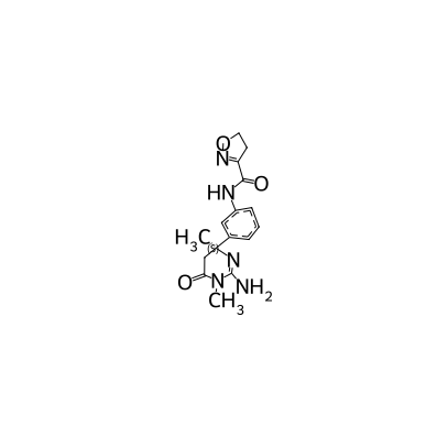 CN1C(=O)C[C@@](C)(c2cccc(NC(=O)C3=NOCC3)c2)N=C1N